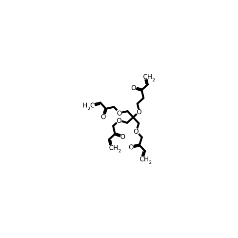 C=CC(=O)CCOC(COCC(=O)C=C)(COCC(=O)C=C)COCC(=O)C=C